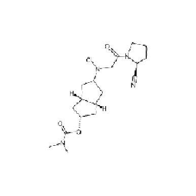 CN(C)C(=O)O[C@H]1C[C@H]2CC(N(Cl)CC(=O)N3CCC[C@H]3C#N)C[C@H]2C1